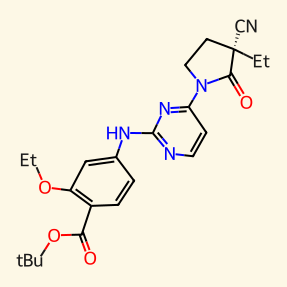 CCOc1cc(Nc2nccc(N3CC[C@@](C#N)(CC)C3=O)n2)ccc1C(=O)OC(C)(C)C